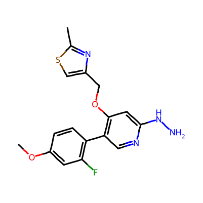 COc1ccc(-c2cnc(NN)cc2OCc2csc(C)n2)c(F)c1